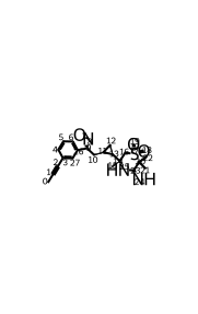 CC#Cc1ccc2onc(C[C@H]3C[C@H]3[C@]3(C)CS(=O)(=O)C(C)(C)C(=N)N3)c2c1